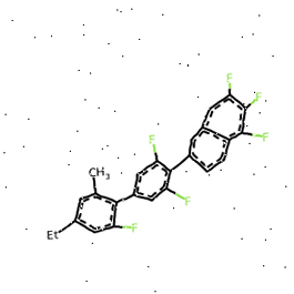 CCc1cc(C)c(-c2cc(F)c(-c3ccc4c(F)c(F)c(F)cc4c3)c(F)c2)c(F)c1